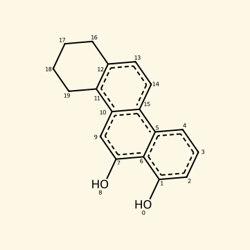 Oc1cccc2c1c(O)cc1c3c(ccc12)CCCC3